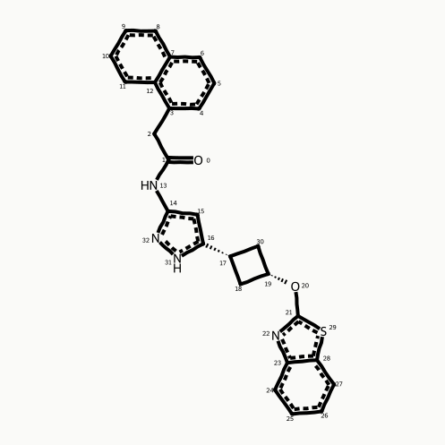 O=C(Cc1cccc2ccccc12)Nc1cc([C@H]2C[C@@H](Oc3nc4ccccc4s3)C2)[nH]n1